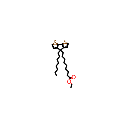 CCCCCCCCC1(CCCCCCCCC(=O)OCC)c2ccsc2-c2sccc21